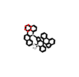 C[Si]1(C)c2ccccc2C2(c3ccccc3-c3cccc4cccc2c34)c2ccc(N(c3cccc4ccccc34)c3c(-c4ccccc4)ccc4ccccc34)cc21